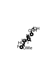 COc1ccc(F)cc1C(C)(C)CC(O)(CNc1cc(C)cc2c1cnn2-c1cccc(C(=O)NC[C@H](C)O)c1)C(F)(F)F